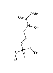 CCOP(=O)(/C=C/CN(O)C(=O)OC)OCC